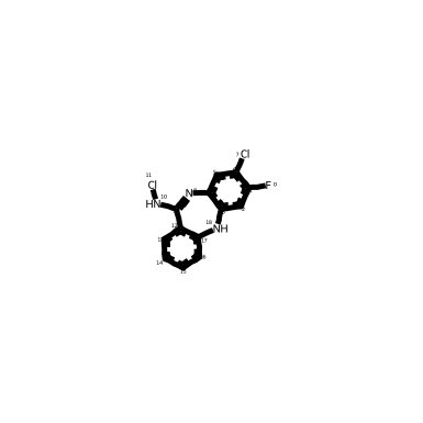 Fc1cc2c(cc1Cl)N=C(NCl)c1ccccc1N2